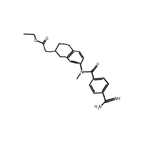 CCOC(=O)CC1CCc2ccc(N(C)C(=O)c3ccc(C(=N)N)cc3)cc2C1